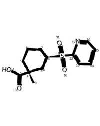 C[C@@]1(C(=O)O)CCC[C@@H](S(=O)(=O)c2ccccn2)C1